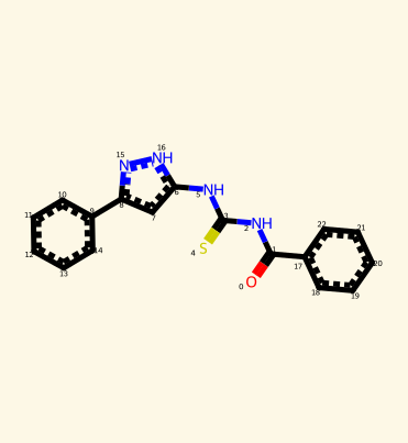 O=C(NC(=S)Nc1cc(-c2ccccc2)n[nH]1)c1ccccc1